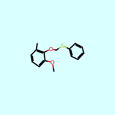 COc1cccc(C)c1OCSc1ccccc1